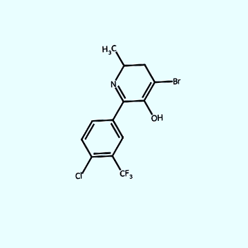 CC1CC(Br)=C(O)C(c2ccc(Cl)c(C(F)(F)F)c2)=N1